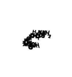 NC(=O)C(N)c1cccc(-c2cccc(COc3ccccc3CC(=O)O)c2)c1